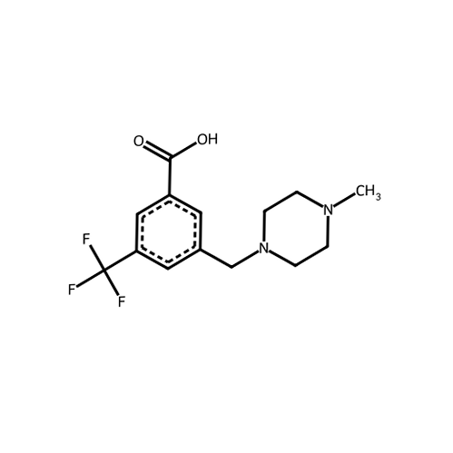 CN1CCN(Cc2cc(C(=O)O)cc(C(F)(F)F)c2)CC1